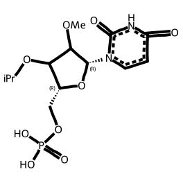 COC1C(OC(C)C)[C@@H](COP(=O)(O)O)O[C@H]1n1ccc(=O)[nH]c1=O